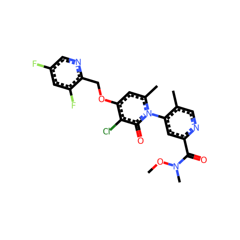 CON(C)C(=O)c1cc(-n2c(C)cc(OCc3ncc(F)cc3F)c(Cl)c2=O)c(C)cn1